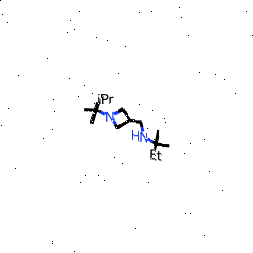 CCC(C)(C)NCC1CN(C(C)(C)C(C)C)C1